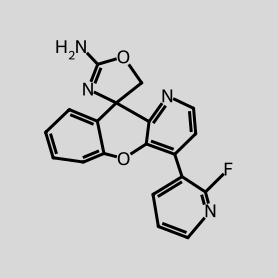 NC1=NC2(CO1)c1ccccc1Oc1c(-c3cccnc3F)ccnc12